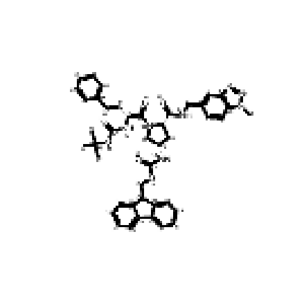 Cn1nnc2cc(CNC(=O)[C@@H]3C[C@H](NC(=O)OCC4c5ccccc5-c5ccccc54)CN3C(=O)[C@@H](CCc3ccccc3)NC(=O)OC(C)(C)C)ccc21